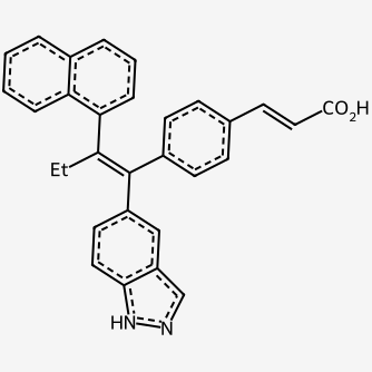 CC/C(=C(/c1ccc(/C=C/C(=O)O)cc1)c1ccc2[nH]ncc2c1)c1cccc2ccccc12